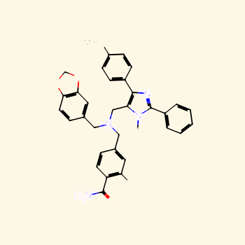 CCCCn1c(-c2ccccc2)nc(-c2ccc(OC)cc2)c1CN(Cc1ccc2c(c1)OCO2)Cc1ccc(C(N)=O)c(OC(C)=O)c1